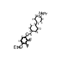 CCC[Si@H]1CC[C@H]([C@H]2CC[C@H](COc3ccc(OCC)c(F)c3F)CC2)CC1